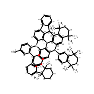 CC(C)(C)c1ccc(N2c3cc(N4c5ccccc5C5(C)CCCCC45C)cc4c3B3c5c2ccc2c5C(C)(c5ccccc5-2)c2c3c(cc3c2C(C)(C)CCC3(C)C)N4c2ccc3c(c2)C(C)(C)CCC3(C)C)c(-c2ccccc2)c1